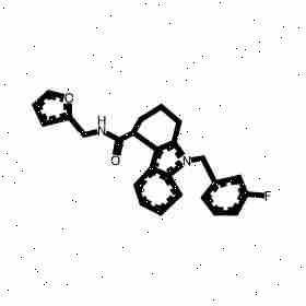 O=C(NCc1ccco1)C1CCCc2c1c1ccccc1n2Cc1cccc(F)c1